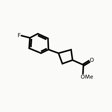 COC(=O)C1CC(c2ccc(F)cc2)C1